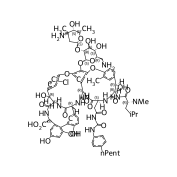 CCCCCc1ccc(NC(=O)NC(=O)C[C@@H]2NC(=O)[C@H](NC(=O)[C@@H](CC(C)C)NC)[C@H](O)c3ccc(c(C)c3)Oc3cc4cc(c3O[C@@H]3O[C@H](CN)[C@@H](O)[C@H](O)[C@H]3O[C@H]3C[C@](C)(N)[C@H](O)[C@H](C)O3)Oc3ccc(cc3Cl)[C@@H](O)[C@@H]3NC(=O)[C@H](NC(=O)[C@@H]4NC2=O)c2ccc(O)c(c2)-c2c(O)cc(O)cc2[C@@H](C(=O)O)NC3=O)cc1